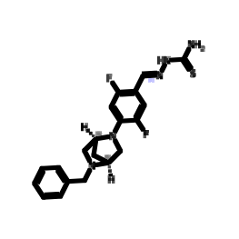 NC(=S)N/N=C/c1cc(F)c(N2C[C@@H]3C[C@H]2CN3Cc2ccccc2)cc1F